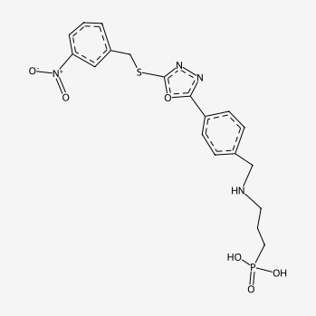 O=[N+]([O-])c1cccc(CSc2nnc(-c3ccc(CNCCCP(=O)(O)O)cc3)o2)c1